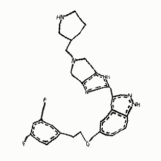 Fc1cc(F)cc(CCOc2ccc3[nH]nc(-c4nc5c([nH]4)CN(CC4CCCNC4)C5)c3c2)c1